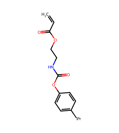 C=CC(=O)OCCNC(=O)Oc1ccc(C(C)C)cc1